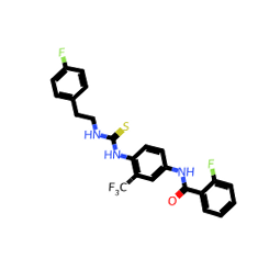 O=C(Nc1ccc(NC(=S)NCCc2ccc(F)cc2)c(C(F)(F)F)c1)c1ccccc1F